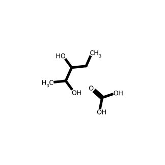 CCC(O)C(C)O.O=C(O)O